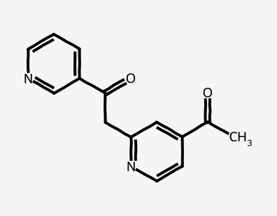 CC(=O)c1ccnc(CC(=O)c2cccnc2)c1